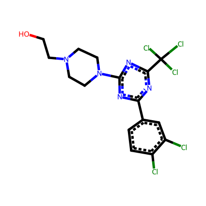 OCCN1CCN(c2nc(-c3ccc(Cl)c(Cl)c3)nc(C(Cl)(Cl)Cl)n2)CC1